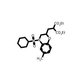 CCOC(=O)C(CC1CN(S(=O)(=O)C2CCCCC2)c2cc(C)ccc2O1)C(=O)OCC